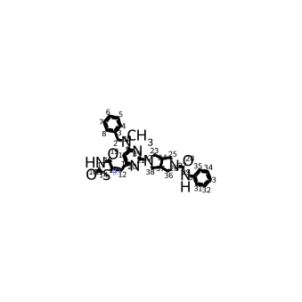 CN(Cc1ccccc1)c1cc(/C=C2/SC(=O)NC2=O)nc(N2CC3CN(C(=O)Nc4ccccc4)CC3C2)n1